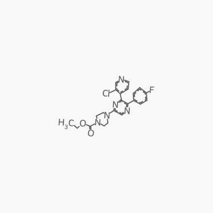 CCOC(=O)N1CCN(c2cnc(-c3ccc(F)cc3)c(-c3ccncc3Cl)n2)CC1